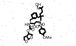 COc1ccc(S(=O)(=O)N(C[C@@H](O)[C@H](Cc2ccccc2)NC(=O)OC2COC3OCCC23)CC(C)(C)CCC(C)=NO)cc1